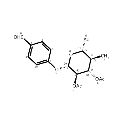 CC(=O)O[C@H]1[C@H](Oc2ccc(C=O)cc2)O[C@H](C(C)=O)[C@@H](C)[C@@H]1OC(C)=O